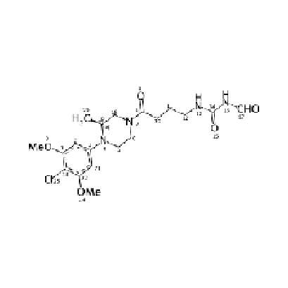 COc1cc(N2CCN(C(=O)CCCNC(=O)NC=O)C[C@@H]2C)cc(OC)c1Cl